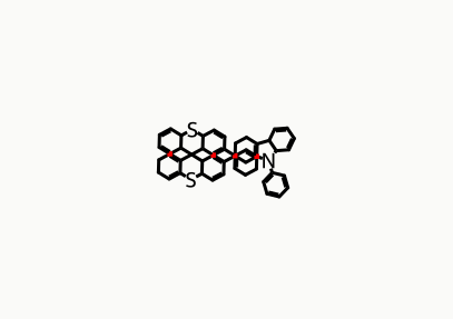 C1=CC2SC3C=CC(C4=CCCC=C4)=CC3C3(C4=CCCC=C4SC4C=CC(C5CCC6=C(C5)N(c5ccccc5)C5C=CC=CC65)=CC43)C2C=C1